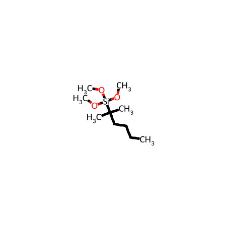 CCCCC(C)(C)[Si](OC)(OC)OC